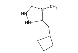 CN1CNNC1CC1CCC1